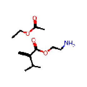 C=C(C(=O)OCCN)C(C)C.CCOC(C)=O